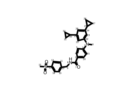 CN(c1ccc(C(=O)NCc2ccc(S(C)(=O)=O)cc2)cc1)c1cc(C2CC2)cc(C2CC2)c1